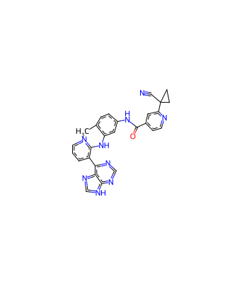 Cc1ccc(NC(=O)c2ccnc(C3(C#N)CC3)c2)cc1Nc1ncccc1-c1ncnc2[nH]cnc12